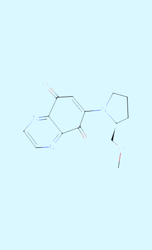 COC[C@@H]1CCCN1C1=CC(=O)c2nccnc2C1=O